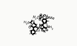 CC[C@@H](c1cc2scc(C)n2c(=O)c1-c1ccccc1)n1nc(-c2ccc(OC)c(N(C)S(C)(=O)=O)c2)c2c(N)ncnc21